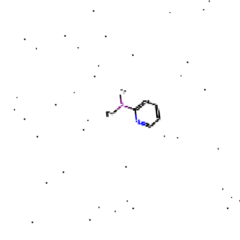 CC(C)P(c1ccccn1)C(C)C